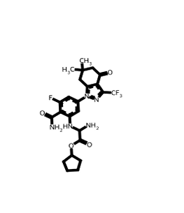 CC1(C)CC(=O)c2c(C(F)(F)F)nn(-c3cc(F)c(C(N)=O)c(NC(N)C(=O)OC4CCCC4)c3)c2C1